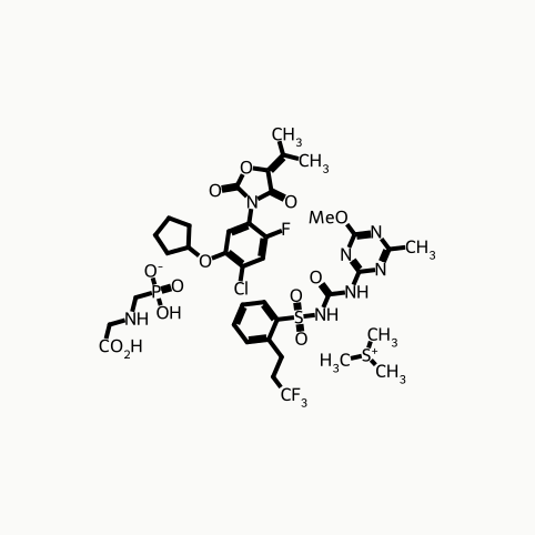 CC(C)=C1OC(=O)N(c2cc(OC3CCCC3)c(Cl)cc2F)C1=O.COc1nc(C)nc(NC(=O)NS(=O)(=O)c2ccccc2CCC(F)(F)F)n1.C[S+](C)C.O=C(O)CNCP(=O)([O-])O